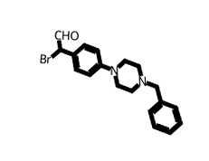 O=CC(Br)c1ccc(N2CCN(Cc3ccccc3)CC2)cc1